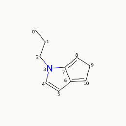 CCCn1ccc2c1=CCC=2